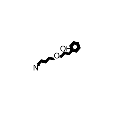 N#CC=CCCOCC(O)Cc1ccccc1